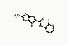 Cc1cc2[nH]c(C(=O)Nc3cccnc3Cl)cc2s1